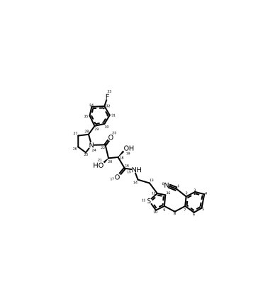 N#Cc1ccccc1Cc1csc(CCNC(=O)[C@H](O)[C@@H](O)C(=O)N2CCCC2c2ccc(F)cc2)c1